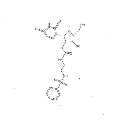 O=C(NCCNS(=O)(=O)c1ccccc1)OC1C(O)[C@@H](CO)O[C@H]1n1ccc(=O)[nH]c1=O